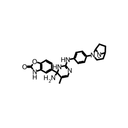 CC1=CN=C(Nc2ccc(N3CCC4CCC3N4C)cc2)NC1(N)c1ccc2oc(=O)[nH]c2c1